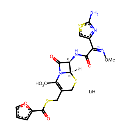 CO/N=C(\C(=O)N[C@@H]1C(=O)N2C(C(=O)O)=C(CSC(=O)c3ccco3)CS[C@H]12)c1csc(N)n1.[LiH]